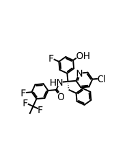 CC(F)(F)c1cc(C(=O)N[C@@](Cc2ccccc2)(c2cc(O)cc(F)c2)c2ccc(Cl)cn2)ccc1F